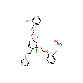 Clc1ccccc1OCOC1(Cl)C=CC(CCn2ccnc2)C(Cl)(OCOc2ccccc2Cl)C1.O=[N+]([O-])O